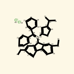 CCc1ccc2c(c1)[CH]([Zr+2]([C]1=CC(C(C)C)=CC1)=[C](c1ccccc1)c1ccccc1)c1cc(CC)ccc1-2.[Cl-].[Cl-]